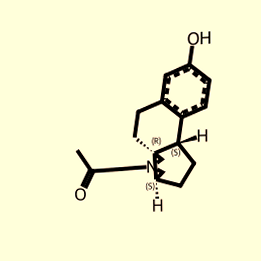 CC(=O)N1C[C@H]2CC[C@H]3c4ccc(O)cc4CC[C@]23C1